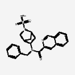 CCCCS(=O)(=O)N1CC2CC1CC2N(Cc1ccccc1)C(=O)c1cc2ccccc2cn1